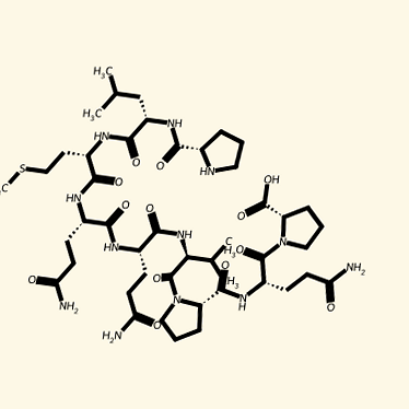 CSCC[C@H](NC(=O)[C@H](CC(C)C)NC(=O)[C@@H]1CCCN1)C(=O)N[C@@H](CCC(N)=O)C(=O)N[C@@H](CCC(N)=O)C(=O)N[C@H](C(=O)N1CCC[C@H]1C(=O)N[C@@H](CCC(N)=O)C(=O)N1CCC[C@H]1C(=O)O)C(C)C